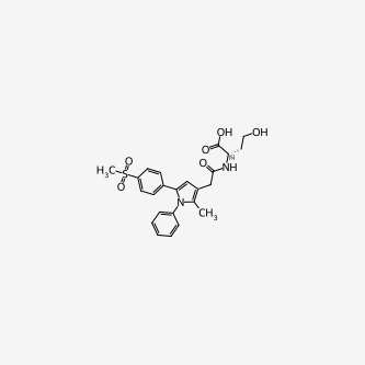 Cc1c(CC(=O)N[C@@H](CCO)C(=O)O)cc(-c2ccc(S(C)(=O)=O)cc2)n1-c1ccccc1